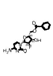 Nc1ccn([C@@H]2O[C@H](COC(=O)c3ccccc3)[C@@H](O)[C@H]2F)c(=O)n1